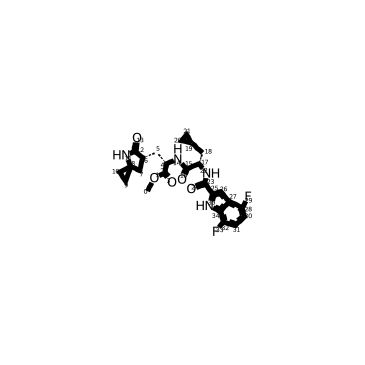 COC(=O)[C@H](C[C@@H]1CC2(CC2)NC1=O)NC(=O)[C@H](CC1CC1)NC(=O)c1cc2c(F)ccc(F)c2[nH]1